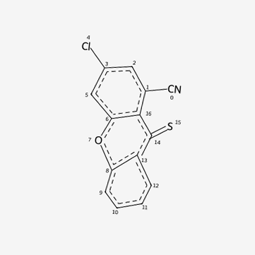 N#Cc1cc(Cl)cc2oc3ccccc3c(=S)c12